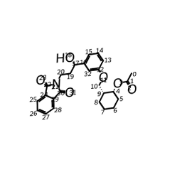 CC(=O)O[C@@H]1CCCC[C@@H]1COc1cccc([C@H](O)CCN2C(=O)c3ccccc3C2=O)c1